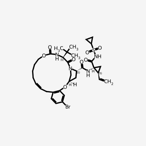 C=C[C@@H]1C[C@]1(NC(=O)[C@@H]1C[C@@H]2CN1C(=O)[C@H](C(C)(C)C)NC(=O)OCCCCC=CCc1ccc(Br)cc1O2)C(=O)NS(=O)(=O)C1CC1